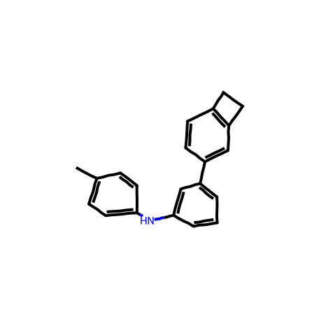 Cc1ccc(Nc2cccc(-c3ccc4c(c3)CC4)c2)cc1